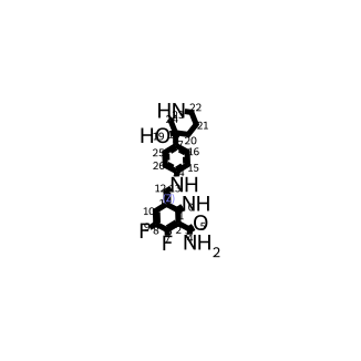 N=C1C(C(N)=O)=C(F)C(F)=C/C1=C/Nc1ccc(C2(O)CCCNC2)cc1